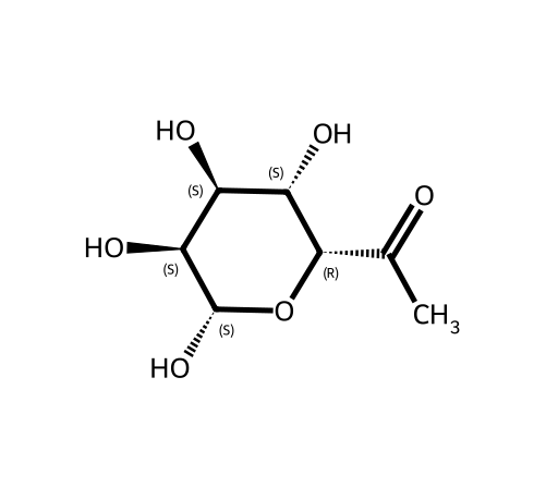 CC(=O)[C@@H]1O[C@H](O)[C@@H](O)[C@@H](O)[C@@H]1O